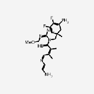 B=C(\C(C)=C(C)/C=N\C=C\N)N(CC1(C)C=C(F)C(F)=C(P)C1)/C(N)=N\COC